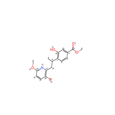 COC(=O)c1ccc(C(C)Cc2nc(OC)ccc2Br)c(O)c1